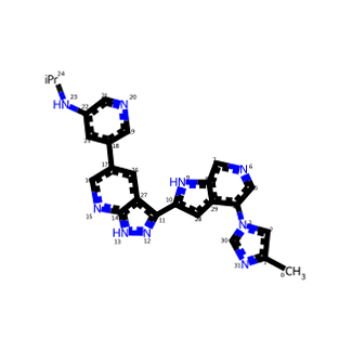 Cc1cn(-c2cncc3[nH]c(-c4n[nH]c5ncc(-c6cncc(NC(C)C)c6)cc45)cc23)cn1